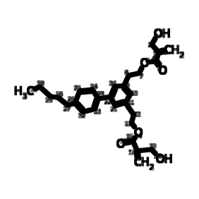 C=C(CO)C(=O)OCCc1cc(CCOC(=O)C(=C)CO)cc(-c2ccc(CCCCC)cc2)c1